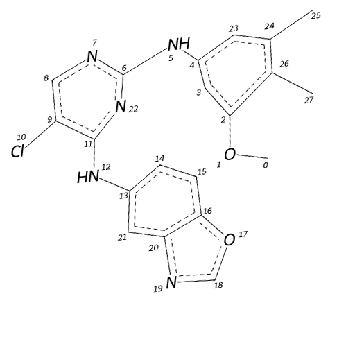 COc1cc(Nc2ncc(Cl)c(Nc3ccc4ocnc4c3)n2)cc(C)c1C